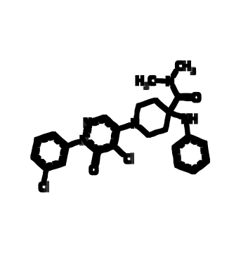 CN(C)C(=O)C1(Nc2ccccc2)CCN(c2cnn(-c3cccc(Cl)c3)c(=O)c2Cl)CC1